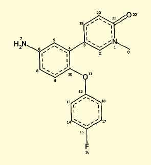 Cn1cc(-c2cc(N)ccc2Oc2ccc(F)cc2)ccc1=O